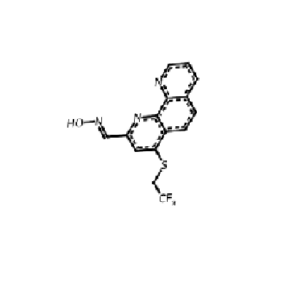 ON=Cc1cc(SCC(F)(F)F)c2ccc3cccnc3c2n1